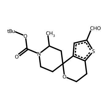 CC1CC2(CCN1C(=O)OC(C)(C)C)OCCc1sc(C=O)cc12